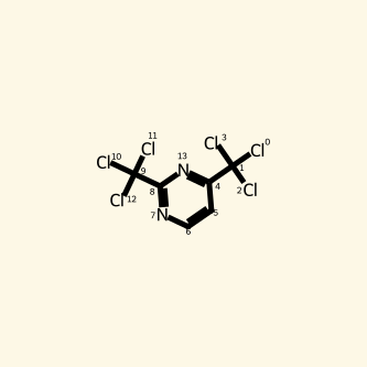 ClC(Cl)(Cl)c1ccnc(C(Cl)(Cl)Cl)n1